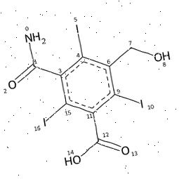 NC(=O)c1c(I)c(CO)c(I)c(C(=O)O)c1I